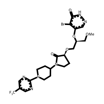 COC[C@@H](CO[C@H]1CCN(C2CCN(c3ncc(C(F)(F)F)cn3)CC2)C1=O)Oc1cn[nH]c(=O)c1Br